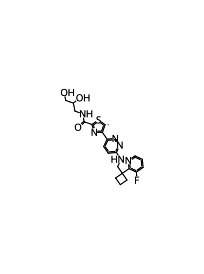 O=C(NC[C@H](O)CO)c1nc(-c2ccc(NCC3(c4ncccc4F)CCC3)nn2)[c]s1